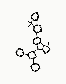 CC1C=CC=C2C1c1cc(-c3ccc4c(c3)C(C)(C)c3ccccc3-4)ccc1N2c1nc(-c2ccccc2)nc(-c2ccccc2)n1